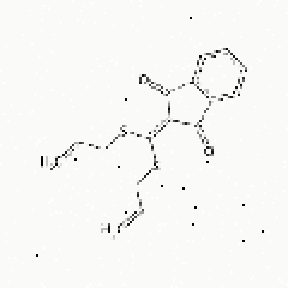 C=CCSC(SCC=C)=C1C(=O)c2ccccc2C1=O